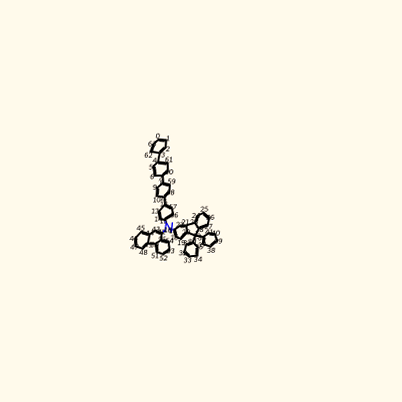 c1ccc(-c2ccc(-c3ccc(-c4ccc(N(c5ccc6c(c5)-c5ccccc5C6(c5ccccc5)c5ccccc5)c5cc6ccccc6c6ccccc56)cc4)cc3)cc2)cc1